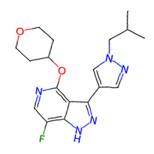 CC(C)Cn1cc(-c2n[nH]c3c(F)cnc(OC4CCOCC4)c23)cn1